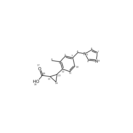 Cc1cc(Cn2ccnc2)ccc1C1CC1C(=O)O